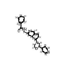 O=C(NCc1cc2nc(N3CCOC(c4ccncc4)C3)ccc2cn1)c1ccccc1